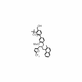 COc1cc(-c2ccc(CO)c(C(C)(C)C(=O)O)c2)ccc1CN(Cc1ccc(C(F)(F)F)o1)Cc1c(C)ccc2ccccc12